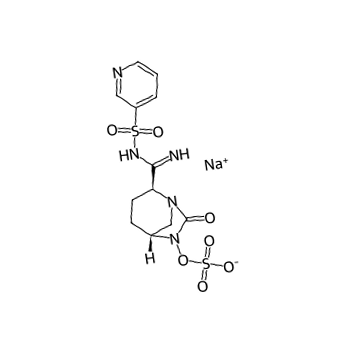 N=C(NS(=O)(=O)c1cccnc1)[C@@H]1CC[C@@H]2CN1C(=O)N2OS(=O)(=O)[O-].[Na+]